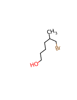 CC(CBr)CCCCO